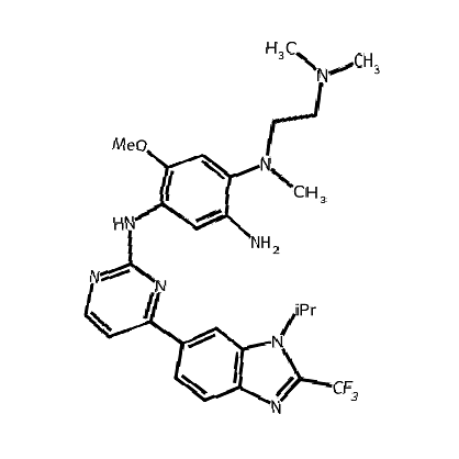 COc1cc(N(C)CCN(C)C)c(N)cc1Nc1nccc(-c2ccc3nc(C(F)(F)F)n(C(C)C)c3c2)n1